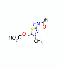 Cc1nc(NC(=O)C(C)C)sc1COC(=O)O